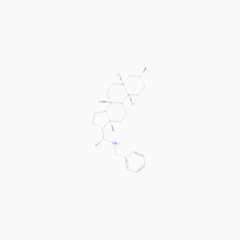 C[C@H]1CC[C@@H]2C3CC[C@@]4(C)C(CCC4[C@H](C)NCc4ccccc4)[C@@H]3CC[C@@H]2C1